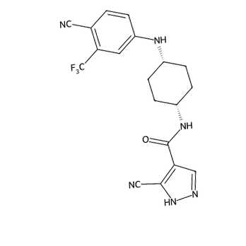 N#Cc1ccc(N[C@H]2CC[C@@H](NC(=O)c3cn[nH]c3C#N)CC2)cc1C(F)(F)F